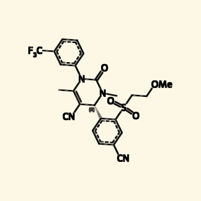 [C-]#[N+]C1=C(C)N(c2cccc(C(F)(F)F)c2)C(=O)N(C)[C@@H]1c1ccc(C#N)cc1S(=O)(=O)CCOC